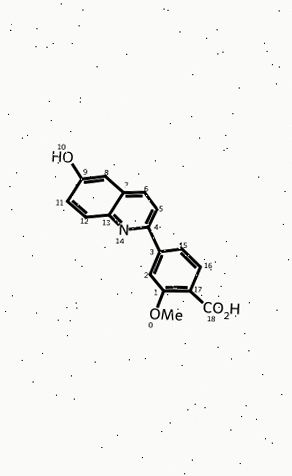 COc1cc(-c2ccc3cc(O)ccc3n2)ccc1C(=O)O